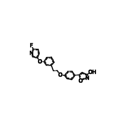 Oc1cc(-c2ccc(OCCc3cccc(Oc4ccc(F)nc4)c3)cc2)on1